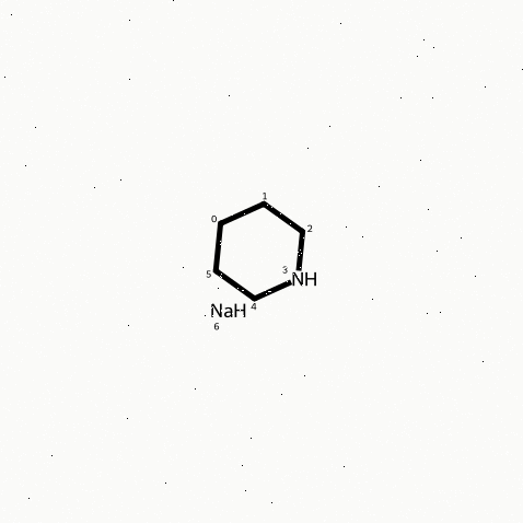 C1CCNCC1.[NaH]